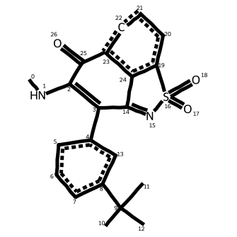 CNC1=C(c2cccc(C(C)(C)C)c2)C2=NS(=O)(=O)c3cccc(c32)C1=O